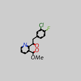 COC(=O)c1cccnc1C(=O)Cc1ccc(F)c(Cl)c1